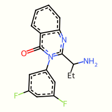 CCC(N)c1nc2ccccc2c(=O)n1-c1cc(F)cc(F)c1